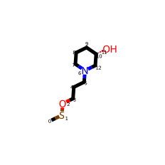 CSOCCCN1CCC[C@H](O)C1